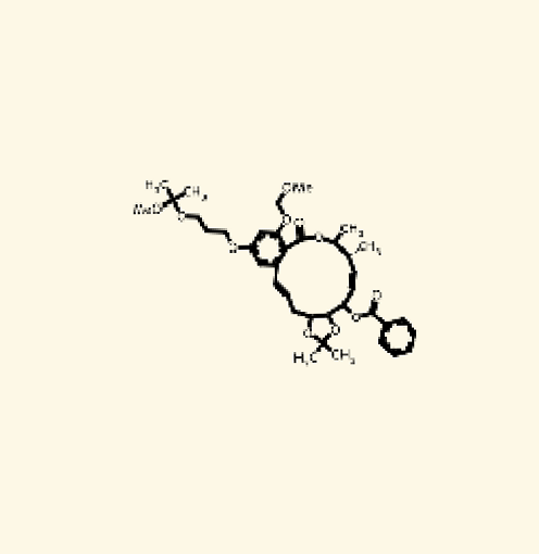 COCOc1cc(OCCCOC(C)(C)OC)cc2c1C(=O)OC(C)[C@H](C)/C=C\C(OC(=O)c1ccccc1)C1OC(C)(C)OC1C/C=C/2